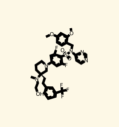 COc1ccc(CN(c2ccncn2)S(=O)(=O)c2c(F)cc(N3CCC[C@@](CCc4cccc(C(F)(F)F)c4)(N(C)CCO)C3)cc2F)c(OC)c1